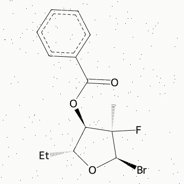 CC[C@H]1O[C@H](Br)[C@](C)(F)[C@@H]1OC(=O)c1ccccc1